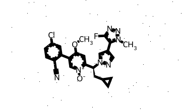 COc1cc([C@H](CC2CC2)n2cc(-c3c(F)nnn3C)cn2)[n+]([O-])cc1-c1cc(Cl)ccc1C#N